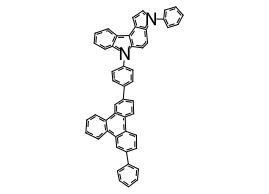 c1ccc(-c2ccc3c4ccc(-c5ccc(-n6c7ccccc7c7c8ccn(-c9ccccc9)c8ccc76)cc5)cc4c4ccccc4c3c2)cc1